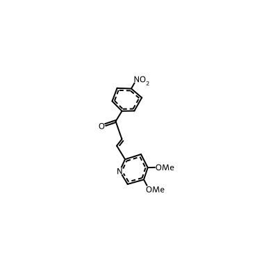 COc1cnc(C=CC(=O)c2ccc([N+](=O)[O-])cc2)cc1OC